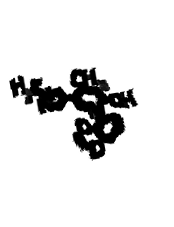 CC1=CC(O)N(c2cccc3c2OCCO3)C=C1c1cnn(C)c1